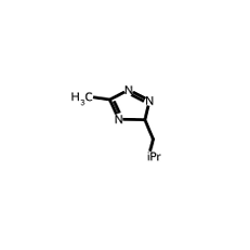 CC1=NC(CC(C)C)N=N1